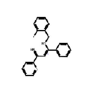 N=C(/C=C(\NCc1ccccc1F)c1ccccc1)c1ccccn1